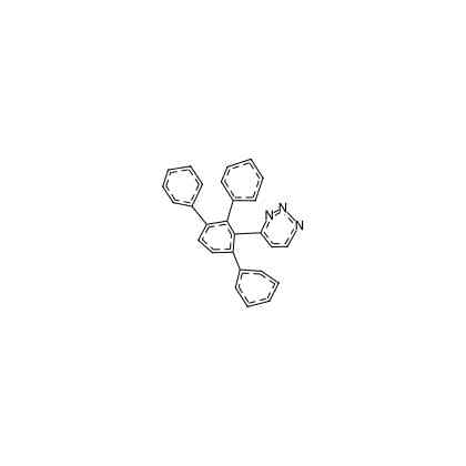 c1ccc(-c2ccc(-c3ccccc3)c(-c3ccnnn3)c2-c2ccccc2)cc1